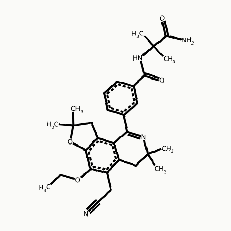 CCOc1c(CC#N)c2c(c3c1OC(C)(C)C3)C(c1cccc(C(=O)NC(C)(C)C(N)=O)c1)=NC(C)(C)C2